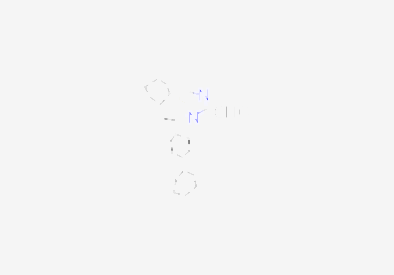 O=CC1=NC(C2=C(c3ccccc3)CCc3c2ccc2c3CCc3ccccc3-2)SC=N1